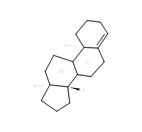 C[C@@]12[CH]CC[C@H]1[C@@H]1CCC3=CCCC[C@]3(C)[C@@H]1CC2